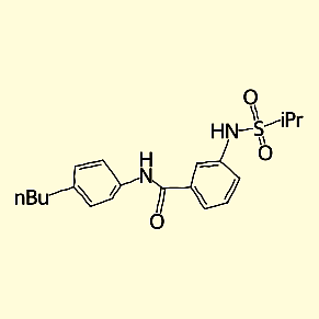 CCCCc1ccc(NC(=O)c2cccc(NS(=O)(=O)C(C)C)c2)cc1